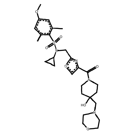 COc1cc(C)c(S(=O)(=O)N(Cc2nc(C(=O)N3CCC(O)(CN4CCOCC4)CC3)co2)C2CC2)c(C)c1